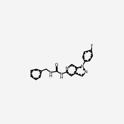 O=C(NCc1ccccc1)Nc1cc2cnn(-c3ccc(F)cc3)c2cn1